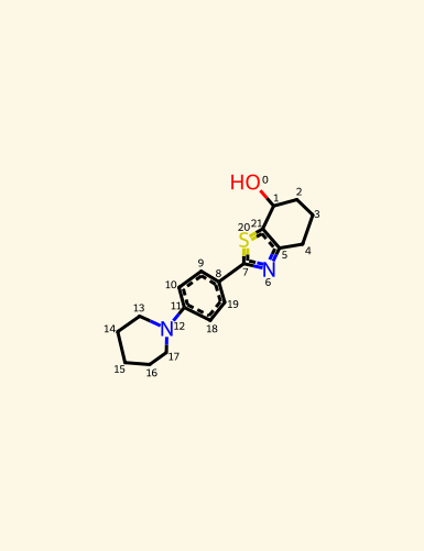 OC1CCCc2nc(-c3ccc(N4CCCCC4)cc3)sc21